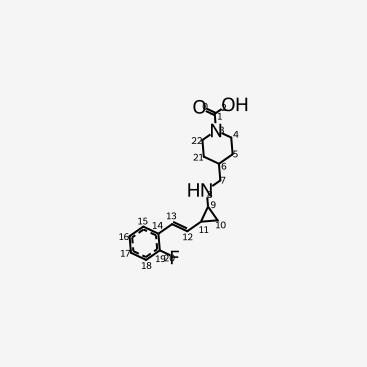 O=C(O)N1CCC(CNC2CC2C=Cc2ccccc2F)CC1